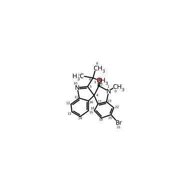 CN1C(=O)C2(C(C(C)(C)C)=Nc3ccccc32)c2ccc(Br)cc21